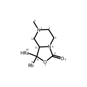 CN1CCN2C(=O)O[C]([Rb])([RaH])C2C1